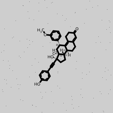 COc1cccc([C@H]2C[C@@]3(C)[C@@H](CC[C@@]3(O)C#Cc3ccc(O)cc3)[C@@H]3CCC4=CC(=O)CCC4=C32)c1